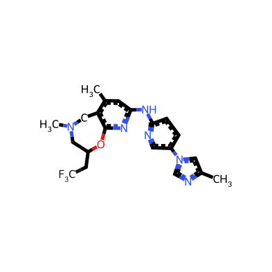 Cc1cn(-c2ccc(Nc3cc(C)c4c(n3)OC(CC(F)(F)F)CN(C)C4)nc2)cn1